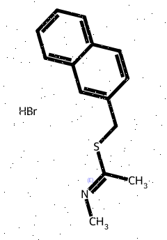 Br.C/N=C(\C)SCc1ccc2ccccc2c1